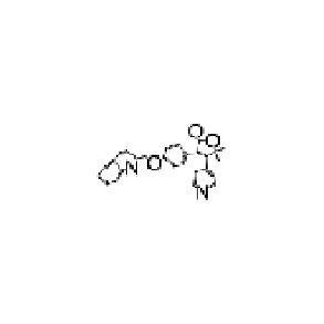 CC1(C)OC(=O)C(c2ccc(OCc3ccc4ccccc4n3)cc2)=C1c1ccncc1